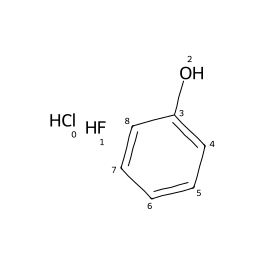 Cl.F.Oc1ccccc1